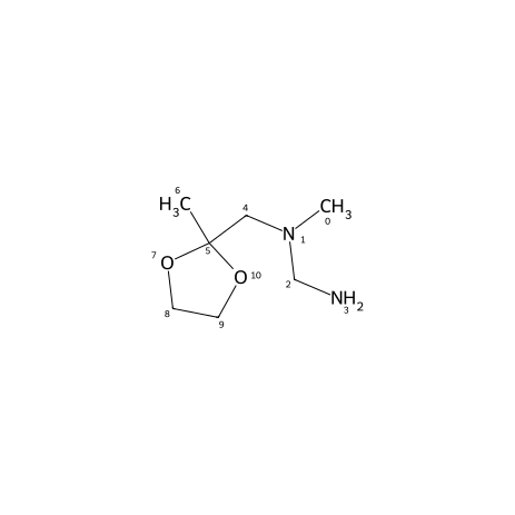 CN(CN)CC1(C)OCCO1